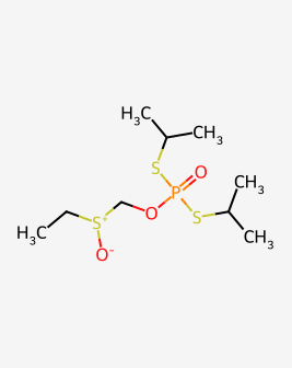 CC[S+]([O-])COP(=O)(SC(C)C)SC(C)C